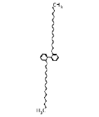 CCCCCCCCCCCCCCCCc1ccccc1-c1ccccc1CCCCCCCCCCCCCCCC